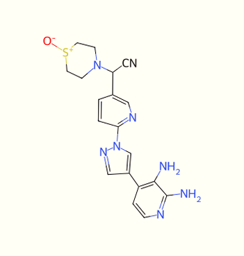 N#CC(c1ccc(-n2cc(-c3ccnc(N)c3N)cn2)nc1)N1CC[S+]([O-])CC1